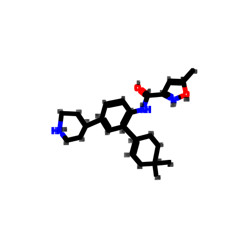 Cc1cc(C(=O)Nc2ccc(C3CCNCC3)cc2C2=CCC(C)(C)CC2)no1